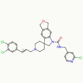 O=C(NCc1ccnc(Cl)c1)N1CC2(CCN(C/C=C/c3ccc(Cl)c(Cl)c3)CC2)c2cc3c(cc21)COC3